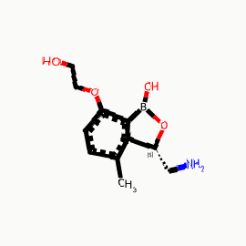 Cc1ccc(OCCO)c2c1[C@@H](CN)OB2O